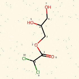 O=C(OCC(O)CO)C(Cl)Cl